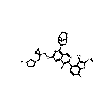 N#Cc1c(N)sc2c(F)ccc(-c3ncc4c(N5CC6CCC(C5)N6)nc(OCC5(CN6CC[C@H](F)C6)CC5)nc4c3F)c12